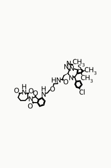 Cc1sc2c(c1C)C(c1ccc(Cl)cc1)=N[C@@H](CC(=O)NCCOCCNc1cccc3c1C(=O)N([C@H]1CCCC(=O)NC1=O)C3=O)c1nnc(C)n1-2